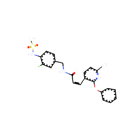 CS(=O)(=O)Nc1ccc(CNC(=O)/C=C\c2ccc(C(F)(F)F)nc2Oc2ccccc2)cc1F